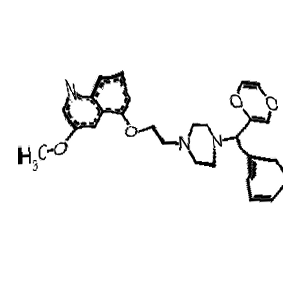 COc1cnc2cccc(OCCN3CCN(C(C4=CC=CCC4)C4=COC=CO4)CC3)c2c1